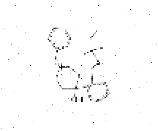 CCC(C)(C)SCc1ccccc1C1(O)CCN(Cc2ccccc2)CC1